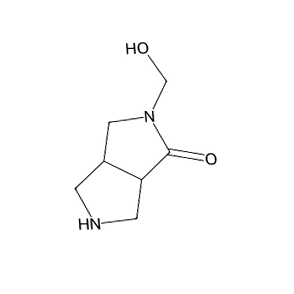 O=C1C2CNCC2CN1CO